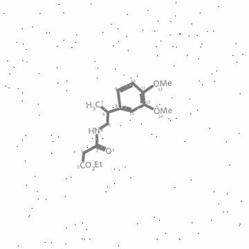 CCOC(=O)CC(=O)NCC(C)c1ccc(OC)c(OC)c1